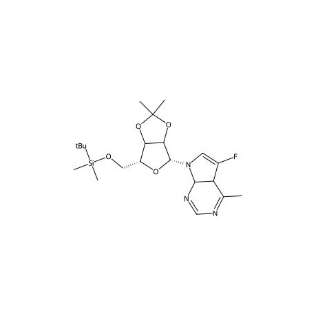 CC1=NC=NC2C1C(F)=CN2[C@@H]1O[C@H](CO[Si](C)(C)C(C)(C)C)C2OC(C)(C)OC21